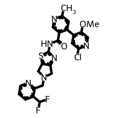 COc1cnc(Cl)cc1-c1cc(C)ncc1C(=O)Nc1nc2c(s1)CN(Cc1ncccc1C(F)F)C2